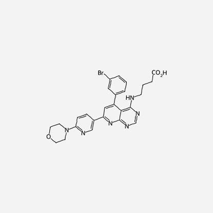 O=C(O)CCCNc1ncnc2nc(-c3ccc(N4CCOCC4)nc3)cc(-c3cccc(Br)c3)c12